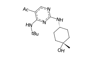 CC(=O)c1cnc(N[C@H]2CC[C@@](C)(O)CC2)nc1NC(C)(C)C